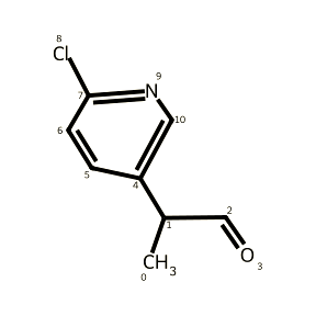 CC(C=O)c1ccc(Cl)nc1